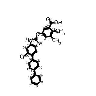 Cc1cc(Oc2nc3cc(-c4ccc(-c5ccccc5)cc4)c(Cl)cc3[nH]2)cc(C(=O)O)c1C